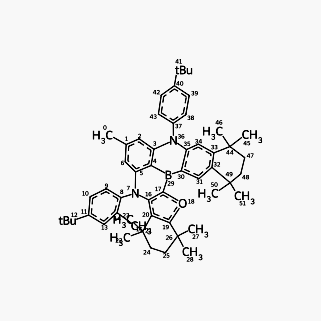 Cc1cc2c3c(c1)N(c1ccc(C(C)(C)C)cc1C)c1c(oc4c1C(C)(C)CCC4(C)C)B3c1cc3c(cc1N2c1ccc(C(C)(C)C)cc1)C(C)(C)CCC3(C)C